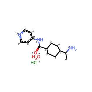 CC(N)C1CCC(C(=O)Nc2ccncc2)CC1.Cl.O